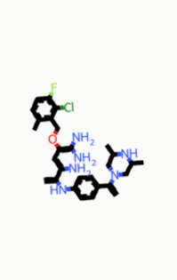 C=C(Nc1ccc(C(=C)N2CC(C)NC(C)C2)cc1)/C(N)=C/C(OCc1c(C)ccc(F)c1Cl)=C(N)N